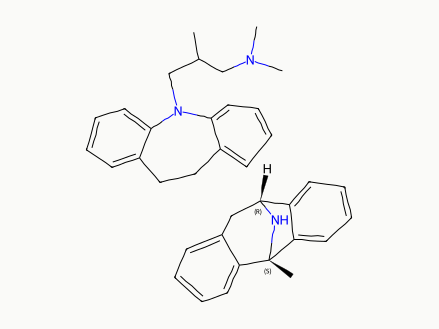 CC(CN(C)C)CN1c2ccccc2CCc2ccccc21.C[C@]12N[C@H](Cc3ccccc31)c1ccccc12